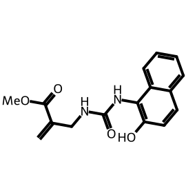 C=C(CNC(=O)Nc1c(O)ccc2ccccc12)C(=O)OC